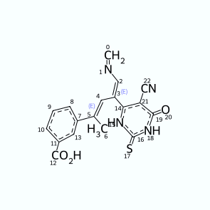 C=N/C=C(\C=C(/C)c1cccc(C(=O)O)c1)c1[nH]c(=S)[nH]c(=O)c1C#N